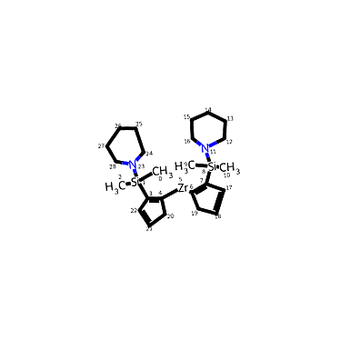 C[Si](C)(C1=[C]([Zr][C]2=C([Si](C)(C)N3CCCCC3)C=CC2)CC=C1)N1CCCCC1